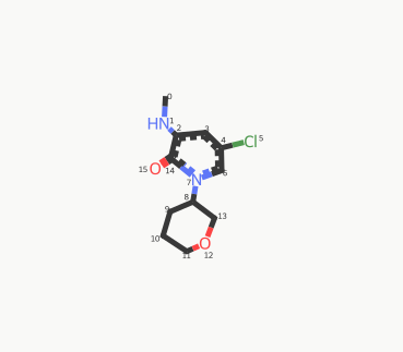 CNc1cc(Cl)cn(C2CCCOC2)c1=O